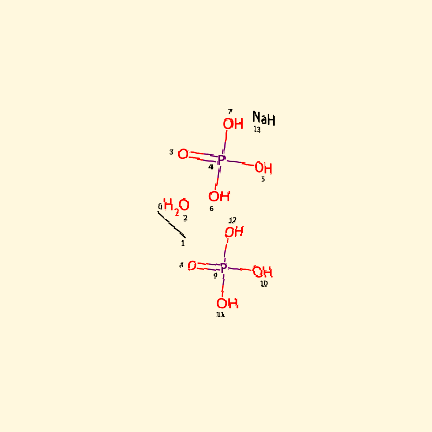 CC.O.O=P(O)(O)O.O=P(O)(O)O.[NaH]